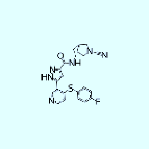 N#CN1CC2CC(NC(=O)c3cc(-c4cnccc4Sc4ccc(F)cc4)[nH]n3)C1C2